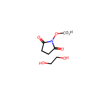 O=C(O)ON1C(=O)CCC1=O.OCCO